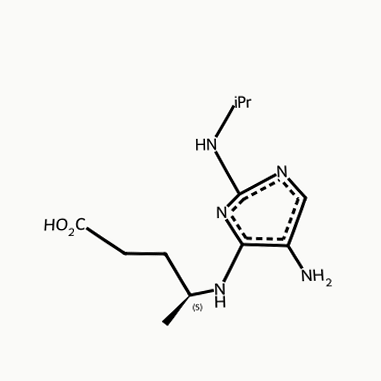 CC(C)Nc1ncc(N)c(N[C@@H](C)CCC(=O)O)n1